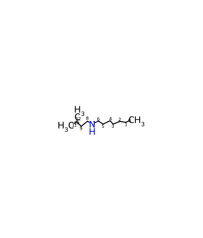 CCCCCCCNCCC(C)C